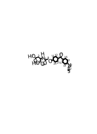 O=C(O)CC(NC(=O)COc1ccc(C(=O)c2ccc(N=C=S)cc2)cc1)C(=O)O